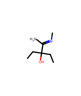 CCC(O)(CC)C([SiH3])=NC